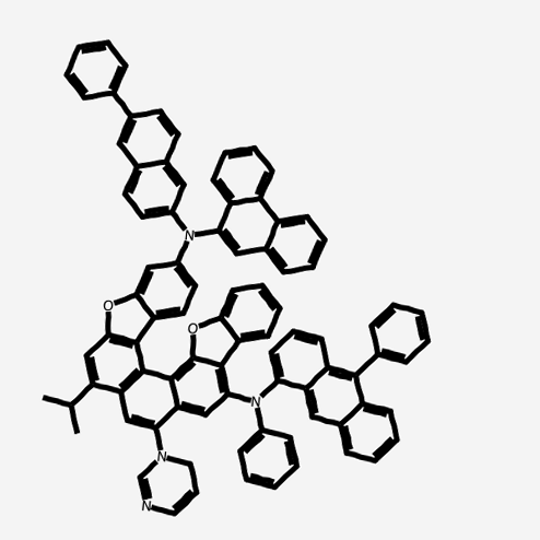 CC(C)c1cc2oc3cc(N(c4ccc5cc(-c6ccccc6)ccc5c4)c4cc5ccccc5c5ccccc45)ccc3c2c2c1cc(N1C=NC=CC1)c1cc(N(c3ccccc3)c3cccc4c(-c5ccccc5)c5ccccc5cc34)c3c4ccccc4oc3c12